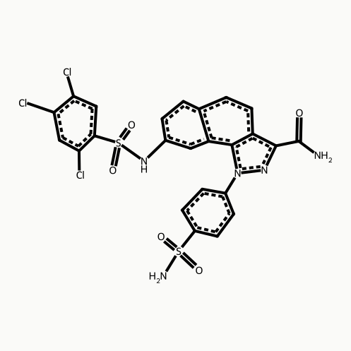 NC(=O)c1nn(-c2ccc(S(N)(=O)=O)cc2)c2c1ccc1ccc(NS(=O)(=O)c3cc(Cl)c(Cl)cc3Cl)cc12